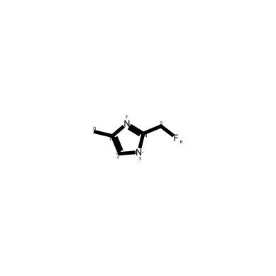 CC1=[C][N]C(CF)=N1